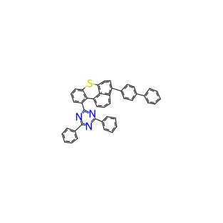 c1ccc(-c2ccc(-c3ccc4c5c(cccc35)-c3c(cccc3-c3nc(-c5ccccc5)nc(-c5ccccc5)n3)S4)cc2)cc1